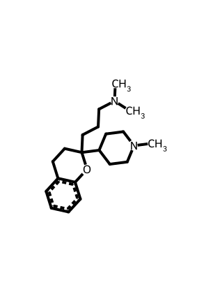 CN(C)CCCC1(C2CCN(C)CC2)CCc2ccccc2O1